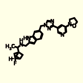 CC(NCc1cc2ccc(Cn3cnc(-c4cncc(N5CCCO5)c4)n3)cc2[nH]1)C12CC(C1)[C@@H](F)C2